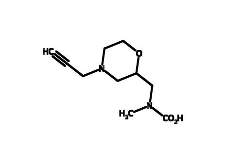 C#CCN1CCOC(CN(C)C(=O)O)C1